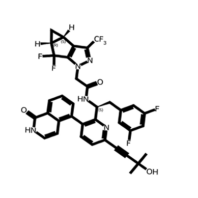 CC(C)(O)C#Cc1ccc(-c2cccc3c(=O)[nH]ccc23)c([C@H](Cc2cc(F)cc(F)c2)NC(=O)Cn2nc(C(F)(F)F)c3c2C(F)(F)[C@@H]2C[C@H]32)n1